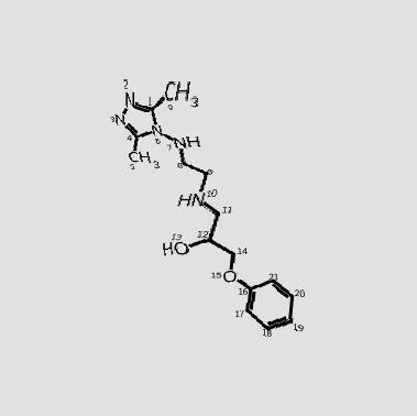 Cc1nnc(C)n1NCCNCC(O)COc1ccccc1